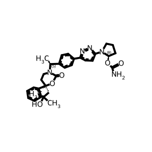 C[C@@H](c1ccc(-c2ccc(N3CCC[C@H]3OC(N)=O)nn2)cc1)N1CC[C@](CC(C)(C)O)(c2ccccc2)OC1=O